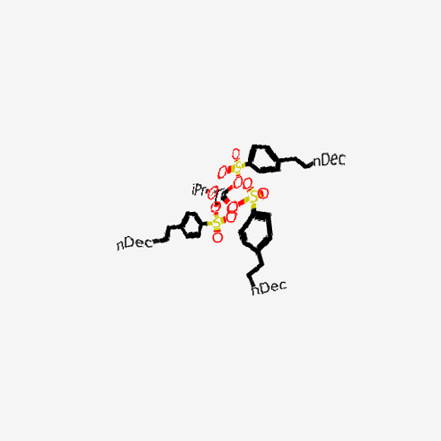 CCCCCCCCCCCCc1ccc(S(=O)(=O)[O][Ti]([O]C(C)C)([O]S(=O)(=O)c2ccc(CCCCCCCCCCCC)cc2)[O]S(=O)(=O)c2ccc(CCCCCCCCCCCC)cc2)cc1